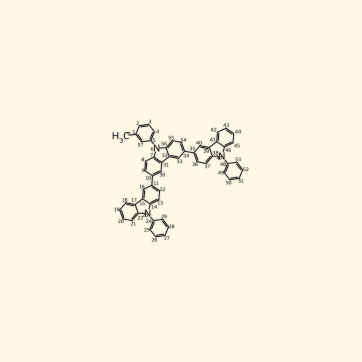 Cc1cccc(-n2c3ccc(-c4ccc5c(c4)c4ccccc4n5-c4ccccc4)cc3c3cc(-c4ccc5c(c4)c4ccccc4n5-c4ccccc4)ccc32)c1